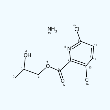 CC(O)COC(=O)c1nc(Cl)ccc1Cl.N